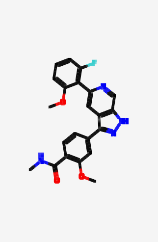 CNC(=O)c1ccc(-c2n[nH]c3cnc(-c4c(F)cccc4OC)cc23)cc1OC